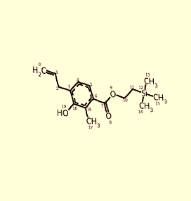 C=CCc1ccc(C(=O)OCC[Si](C)(C)C)c(C)c1O